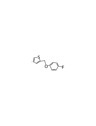 Fc1ccc(OCc2c[c]cs2)cc1